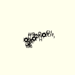 CN(C)c1ccc(NC(=O)N(CCO)Cc2ccc(C(=O)Nc3ccccc3NC(=O)OC(C)(C)C)cc2)cc1